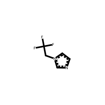 FC(F)(F)Cn1[c]n[c]c1